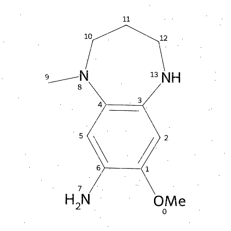 COc1cc2c(cc1N)N(C)CCCN2